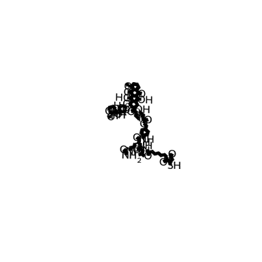 COc1cccc2c1C(=O)c1c(O)c3c(c(O)c1C2=O)C[C@@](O)(C(=O)N1CCN(C(=O)OCc2ccc(NC(=O)[C@H](CCCNC(N)=O)NC(=O)[C@@H](NC(=O)CCCCCN4C(=O)CC(S)C4=O)C(C)C)cc2)CC1)C[C@@H]3O[C@H]1C[C@H]2[C@H](O[C@@H]3[C@@H](OC)OCCN32)[C@H](C)O1